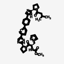 COC(=O)N[C@@H](Cn1cccn1)C(=O)N1CCC[C@H]1c1ncc(-c2ccc(-c3ccc(-c4cnc([C@@H]5CCCN5C(=O)CC(C)C)[nH]4)cc3)cc2)[nH]1